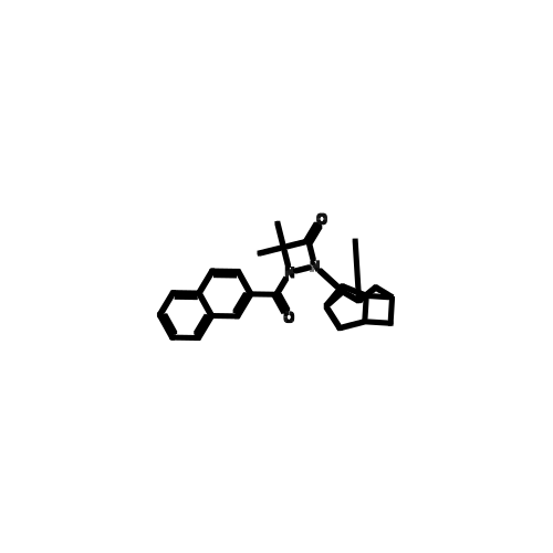 CC1CC2CC3CC(CC23)C1N1C(=O)C(C)(C)N1C(=O)c1ccc2ccccc2c1